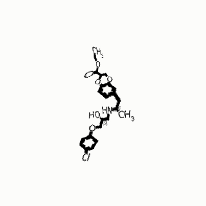 CCOC(=O)C1COc2cc(C[C@@H](C)NC[C@H](O)COc3ccc(Cl)cc3)ccc2O1